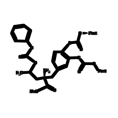 CCCC(C)OC(=O)Oc1cc(C[C@](N)(CC(C)OC(=O)Oc2ccccc2)C(=O)OC)ccc1OC(=O)O[C@@H](C)CCC